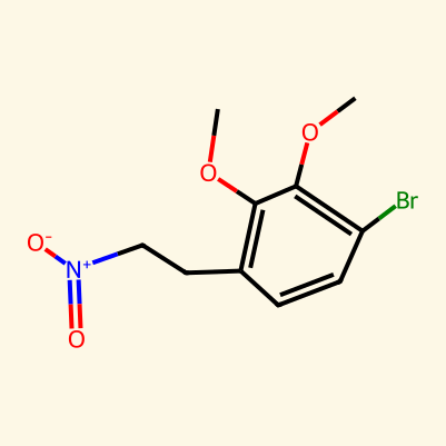 COc1c(Br)ccc(CC[N+](=O)[O-])c1OC